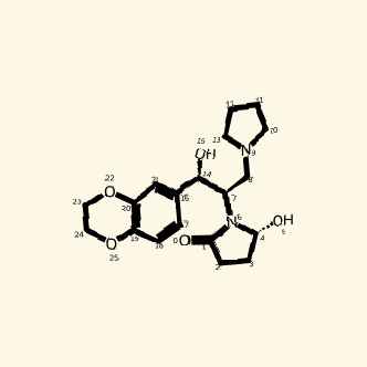 O=C1CC[C@@H](O)N1[C@H](CN1CCCC1)[C@H](O)c1ccc2c(c1)OCCO2